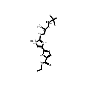 CCOC(=O)c1ccc(-c2csc(SCC(O)CNC(C)(C)C)n2)s1.Cl